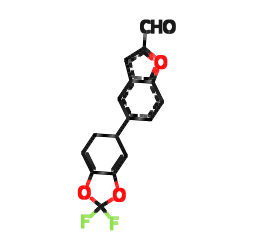 O=Cc1cc2cc(C3C=C4OC(F)(F)OC4=CC3)ccc2o1